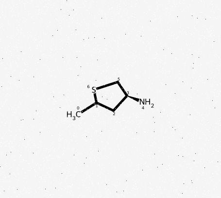 CC1C[C@H](N)CS1